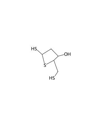 OC1CC(S)SC1CS